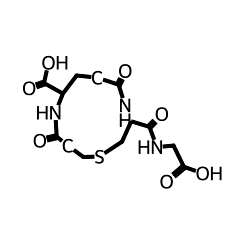 O=C(O)CNC(=O)C1CSCCC(=O)NC(C(=O)O)CCC(=O)N1